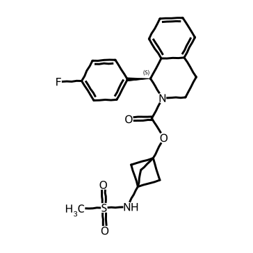 CS(=O)(=O)NC12CC(OC(=O)N3CCc4ccccc4[C@@H]3c3ccc(F)cc3)(C1)C2